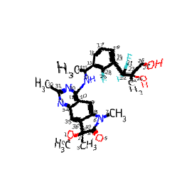 CO[C@@]1(C)C(=O)N(C)c2cc3c(NC(C)c4cccc(C(F)(F)C(C)(O)CO)c4F)nc(C)nc3cc21